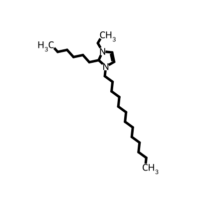 CCCCCCCCCCCCCN1C=CN(CC)C1CCCCCC